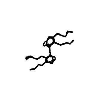 CCCCc1coc(-c2occ(CCCC)c2CCCC)c1CCCC